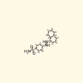 NS(=O)(=O)c1ccc(NNc2cccc3ccccc23)cc1